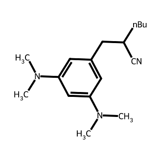 CCCCC(C#N)Cc1cc(N(C)C)cc(N(C)C)c1